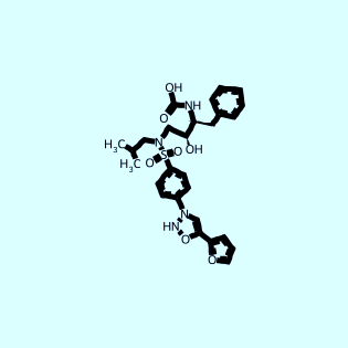 CC(C)CN(C[C@@H](O)[C@H](Cc1ccccc1)NC(=O)O)S(=O)(=O)c1ccc(N2C=C(c3ccco3)ON2)cc1